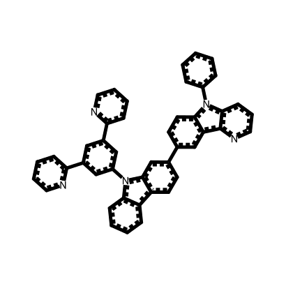 c1ccc(-n2c3ccc(-c4ccc5c6ccccc6n(-c6cc(-c7ccccn7)cc(-c7ccccn7)c6)c5c4)cc3c3ncccc32)cc1